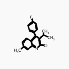 Cc1ccc2c(-c3ccc(F)cc3)c(C(C)C)c(Cl)nc2c1